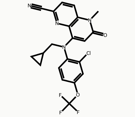 Cn1c(=O)cc(N(CC2CC2)c2ccc(OC(F)(F)F)cc2Cl)c2nc(C#N)ccc21